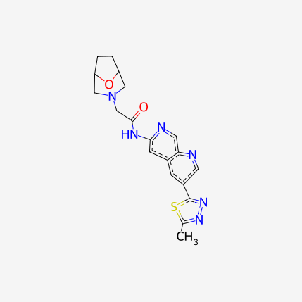 Cc1nnc(-c2cnc3cnc(NC(=O)CN4CC5CCC(C4)O5)cc3c2)s1